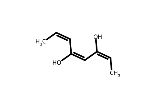 C\C=C/C(O)=C\C(O)=C/C